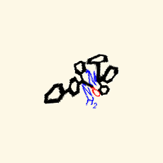 NC1(c2ccc(-c3ccccc3)cc2)C(=O)N(C(c2ccccc2)(c2ccccc2)c2ccccc2)c2ccccc21